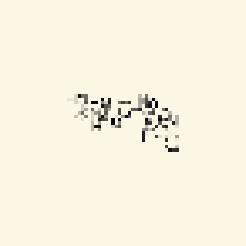 O=C(O)CN[C@@H]1COc2cc(-c3noc(-c4onc(-c5ccccc5)c4C(F)(F)F)n3)ccc2[C@H]1O